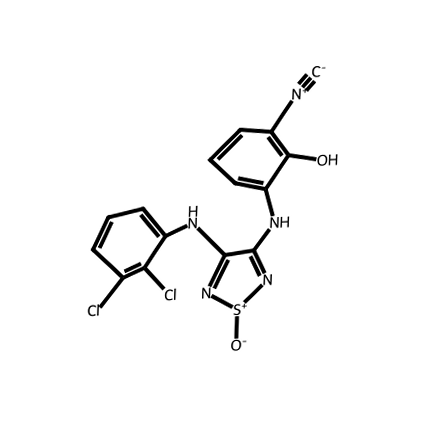 [C-]#[N+]c1cccc(Nc2n[s+]([O-])nc2Nc2cccc(Cl)c2Cl)c1O